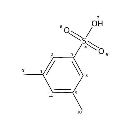 Cc1[c]c(S(=O)(=O)O)cc(C)c1